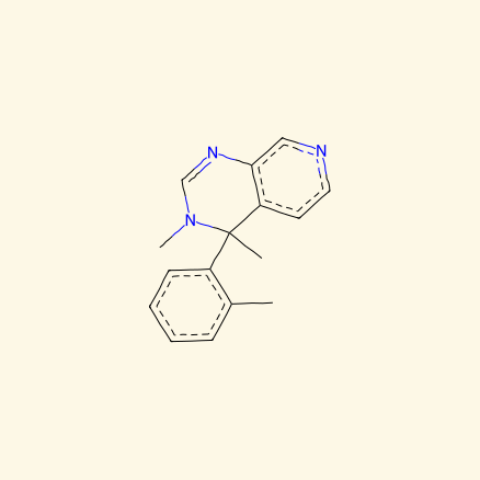 Cc1ccccc1C1(C)c2ccncc2N=CN1C